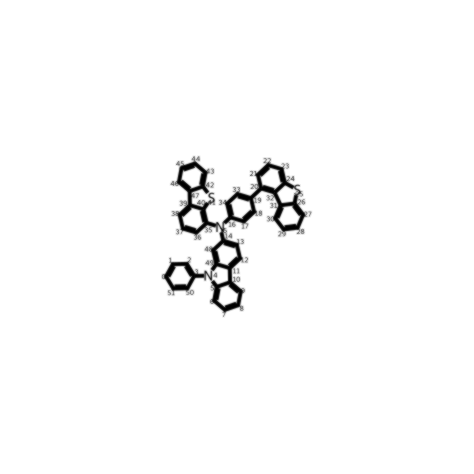 c1ccc(-n2c3ccccc3c3ccc(N(c4ccc(-c5cccc6sc7ccccc7c56)cc4)c4cccc5c4sc4ccccc45)cc32)cc1